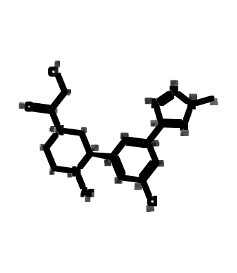 CC(=O)N1CCN(C(=O)CCl)C[C@H]1c1cc(Cl)cc(-c2nnn(C)n2)c1